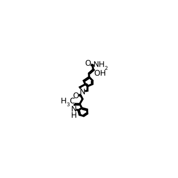 Cc1[nH]c2ccccc2c1CC(=O)N1Cc2ccc(/C=C(\O)C(N)=O)cc2C1